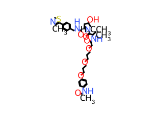 CC(=O)Nc1ccc(OCCCOCCCOCC(=O)NC(C(=O)N2C[C@@H](O)C[C@H]2C(=O)NCc2ccc(-c3scnc3C)cc2)C(C)(C)C)cc1